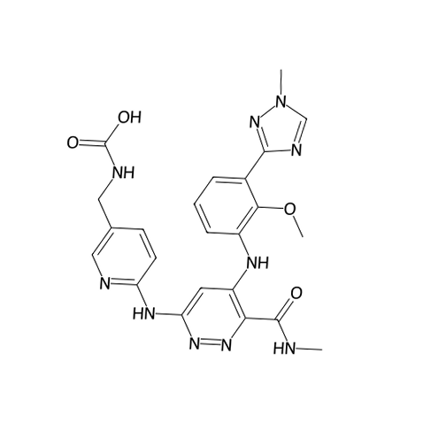 CNC(=O)c1nnc(Nc2ccc(CNC(=O)O)cn2)cc1Nc1cccc(-c2ncn(C)n2)c1OC